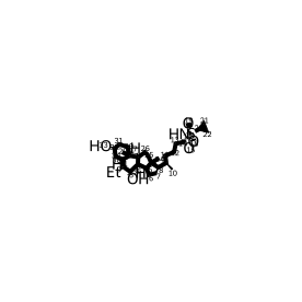 CC[C@H]1[C@@H](O)C2[C@@H]3CC[C@H]([C@H](C)CCCC(=O)NS(=O)(=O)C4CC4)C3(C)CC[C@@H]2C2(C)CC[C@@H](O)C[C@@H]12